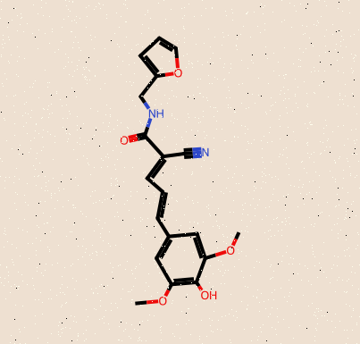 COc1cc(/C=C/C=C(\C#N)C(=O)NCc2ccco2)cc(OC)c1O